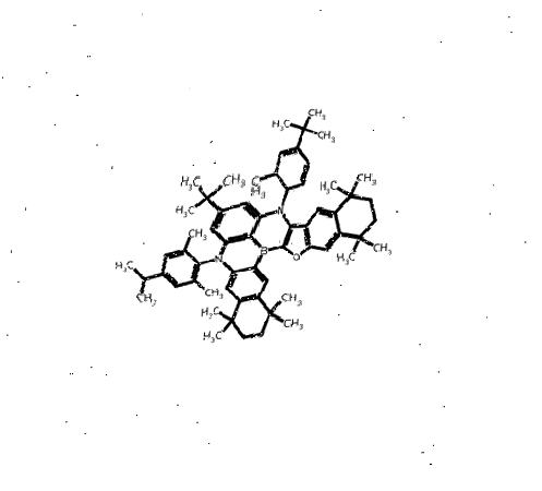 Cc1cc(C(C)C)cc(C)c1N1c2cc3c(cc2B2c4oc5cc6c(cc5c4N(C4C=CC(C(C)(C)C)=CC4C)c4cc(C(C)(C)C)cc1c42)C(C)(C)CCC6(C)C)C(C)(C)CCC3(C)C